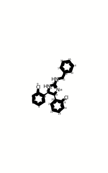 Clc1ccccc1[C@H]1NC(NCc2ccccc2)=N[C@H]1c1ccccc1Cl